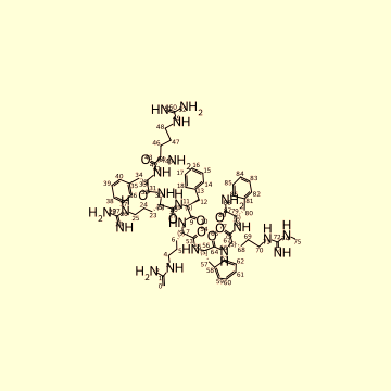 C=C(N)NCCC[C@H](NC(=O)[C@H](Cc1ccccc1)NC(=O)[C@H](CCCNC(=N)N)NC(=O)[C@H](Cc1ccccc1)NC(=O)[C@@H](N)CCCNC(=N)N)C(=O)N[C@@H](Cc1ccccc1)C(=O)N[C@@H](CCCNC(=N)NC)C(=O)N[C@@H](Cc1ccccc1)C(N)=O